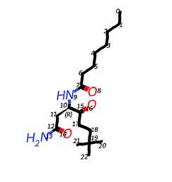 CCCCCCCC(=O)N[C@H](CC(N)=O)C(=O)CCC(C)(C)C